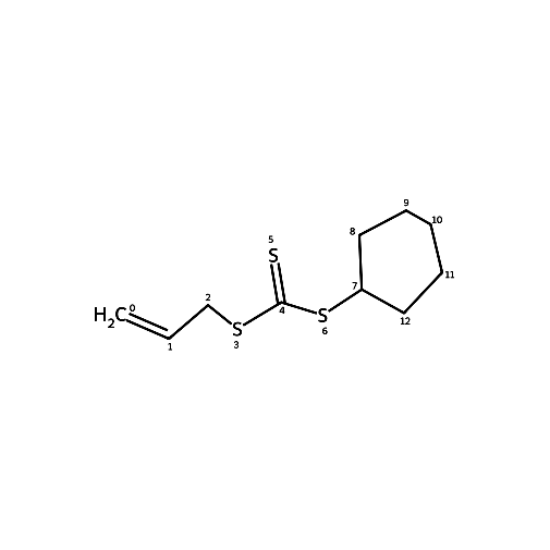 C=CCSC(=S)SC1CCCCC1